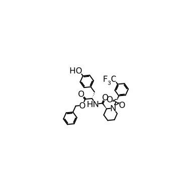 O=C(OCc1ccccc1)[C@H](Cc1ccc(O)cc1)NC(=O)[C@@H]1CCCCN1S(=O)(=O)c1cccc(C(F)(F)F)c1